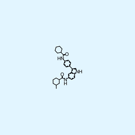 CC1CCCC(C(=O)Nc2ccc3[nH]cc(-c4ccc(NC(=O)C5CCCCC5)cc4)c3c2)C1